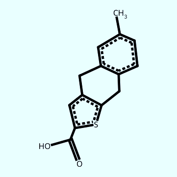 Cc1ccc2c(c1)Cc1cc(C(=O)O)sc1C2